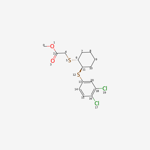 COC(=O)CS[C@@H]1CCCC[C@H]1Sc1ccc(Cl)c(Cl)c1